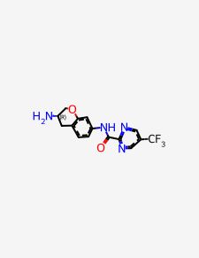 N[C@H]1COc2cc(NC(=O)c3ncc(C(F)(F)F)cn3)ccc2C1